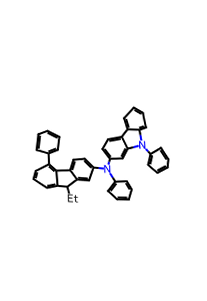 CCC1c2cc(N(c3ccccc3)c3ccc4c5ccccc5n(-c5ccccc5)c4c3)ccc2-c2c(-c3ccccc3)cccc21